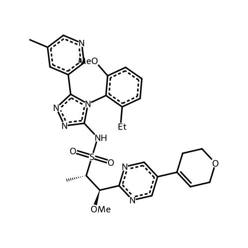 CCc1cccc(OC)c1-n1c(NS(=O)(=O)[C@@H](C)[C@H](OC)c2ncc(C3=CCOCC3)cn2)nnc1-c1cncc(C)c1